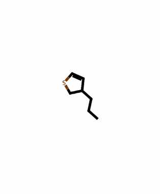 CCCC1C=CSC1